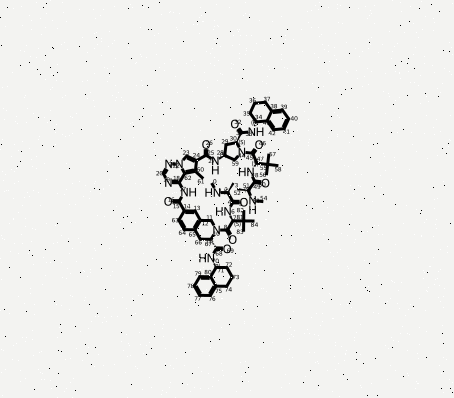 CN[C@@H](C)C(=O)N[C@H](C(=O)N1Cc2cc(C(=O)Nc3ncnn4cc(C(=O)N[C@H]5C[C@@H](C(=O)N[C@@H]6CCCc7ccccc76)N(C(=O)[C@@H](NC(=O)[C@H](C)NC)C(C)(C)C)C5)c(C)c34)ccc2C[C@H]1C(=O)N[C@@H]1CCCc2ccccc21)C(C)(C)C